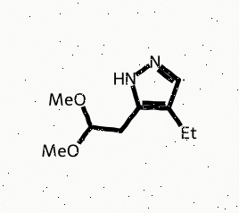 CCc1[c]n[nH]c1CC(OC)OC